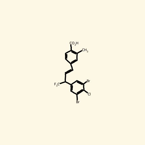 Cc1cc(C=CC(c2cc(Br)c(Cl)c(Br)c2)C(F)(F)F)ccc1C(=O)O